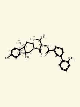 Cc1ccccc1-c1cccc(C(=O)N[C@@H](C(=O)N2CC[C@](O)(c3ccc(Cl)cc3)C(C)(C)C2)C(C)C)c1